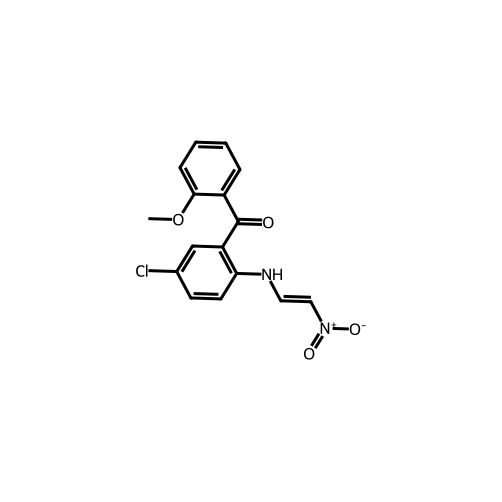 COc1ccccc1C(=O)c1cc(Cl)ccc1NC=C[N+](=O)[O-]